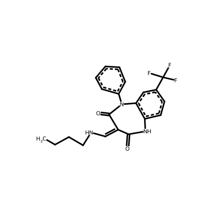 CCCCN/C=C1/C(=O)Nc2ccc(C(F)(F)F)cc2N(c2ccccc2)C1=O